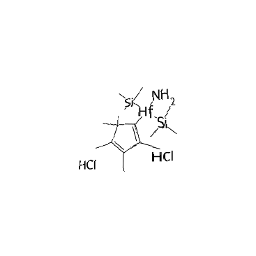 CC1=C(C)C(C)(C)[C]([Hf]([NH2])([Si](C)(C)C)[Si](C)(C)C)=C1C.Cl.Cl